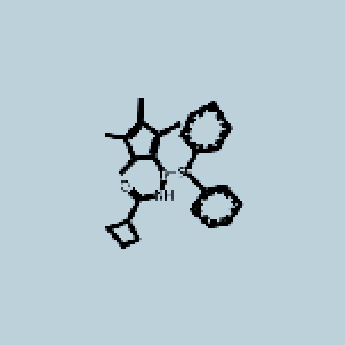 CC1=C(C)C(C)[C]([Ti]([NH]C(=O)C2CCC2)[SiH](c2ccccc2)c2ccccc2)=C1C